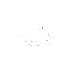 COC[C@H]1CCCN1S(=O)(=O)c1ccc(-c2cccc(NC(=O)C3(c4ccc5c(c4)OCO5)CC3)c2)cc1